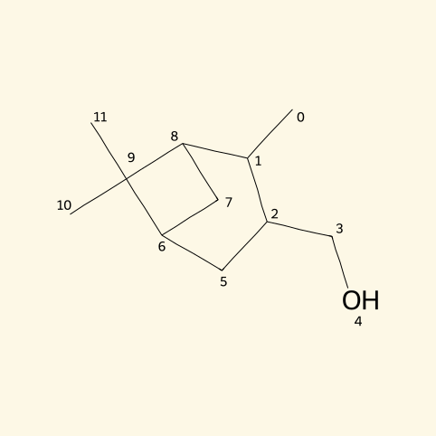 CC1C(CO)CC2CC1C2(C)C